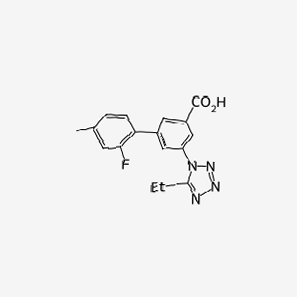 CCc1nnnn1-c1cc(C(=O)O)cc(-c2ccc(C)cc2F)c1